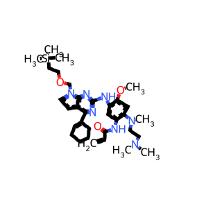 C=CC(=O)Nc1cc(Nc2nc(C3=CCCCC3)c3ccn(COCC[Si](C)(C)C)c3n2)c(OC)cc1N(C)CCN(C)C